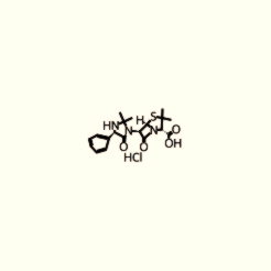 CC1(C)S[C@@H]2[C@H](N3C(=O)[C@@H](c4ccccc4)NC3(C)C)C(=O)N2[C@H]1C(=O)O.Cl